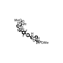 COCON[C@@H](C(=O)N1CCC[C@H]1c1ncc(C2CCN(c3c(F)cc(-c4cnc([C@@H]5CCCN5C(=O)[C@H](NC(=O)OC)C(C)C)[nH]4)cc3F)CC2)[nH]1)C(C)C